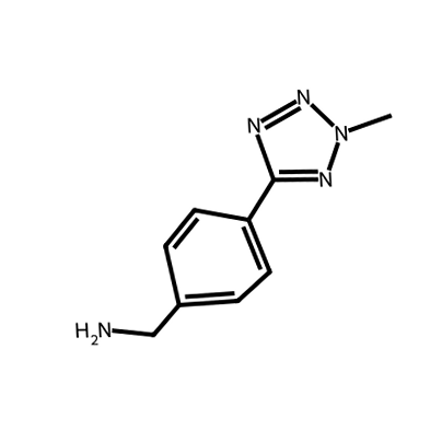 Cn1nnc(-c2ccc(CN)cc2)n1